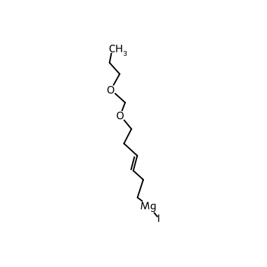 CCCOCOCC/C=C/C[CH2][Mg][I]